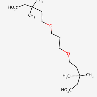 CC(C)(CCOCCCOCCC(C)(C)CC(=O)O)CC(=O)O